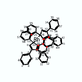 C1=C(c2ccccc2)C(c2ccccc2)=C(c2ccccc2)[C]1([Rh][C]1(c2ccccc2)C=C(c2ccccc2)C(c2ccccc2)=C1c1ccccc1)c1ccccc1